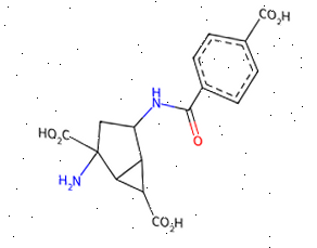 NC1(C(=O)O)CC(NC(=O)c2ccc(C(=O)O)cc2)C2C(C(=O)O)C21